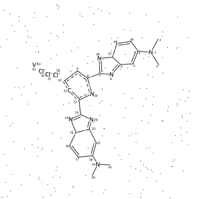 CN(C)C1=CC2=NC(c3cccc(C4=NC5C=CC(N(C)C)=CC5=N4)n3)=NC2C=C1.[Cl-].[Cl-].[Cl-].[V+3]